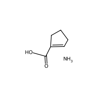 N.O=C(O)C1=CCCC1